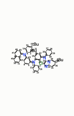 CC(C)(C)c1ccc(N(c2cccc(N(c3ccccc3)c3cc(C(C)(C)C)cc(N(c4ccccc4)c4cnc5ccc(C(C)(C)C)cn45)c3Cl)c2)c2cccc3ccccc23)cc1